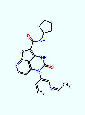 C=C/C(=C\N=C/C)N1C(=O)Nc2c(C(=O)NC3CCCC3)sc3nccc1c23